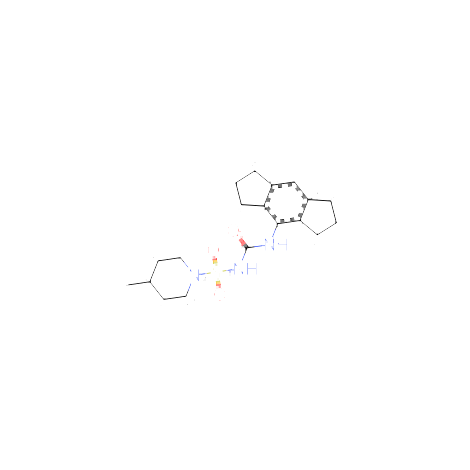 CC1CCN(S(=O)(=O)NC(=O)Nc2c3c(cc4c2CCC4)CCC3)CC1